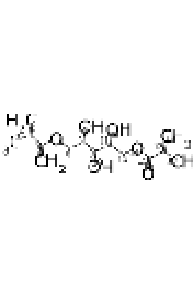 C=C(C)C(=C)OCC(O)C(O)C(O)COC(=O)C(=C)C